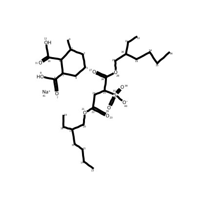 CC1CCCC(C(=O)O)C1C(=O)O.CCCCC(CC)COC(=O)CC(C(=O)OCC(CC)CCCC)S(=O)(=O)[O-].[Na+]